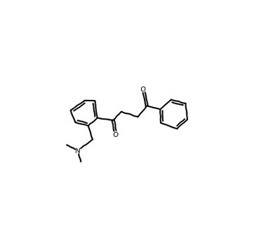 CN(C)Cc1ccccc1C(=O)CCC(=O)c1ccccc1